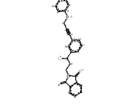 O=C1c2ccccc2C(=O)N1CC[C@@H](O)c1cccc(C#CCOc2ccccc2)c1